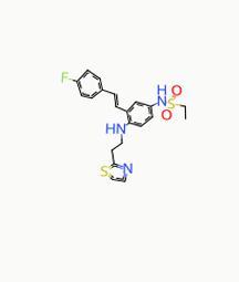 CCS(=O)(=O)Nc1ccc(NCCc2nccs2)c(C=Cc2ccc(F)cc2)c1